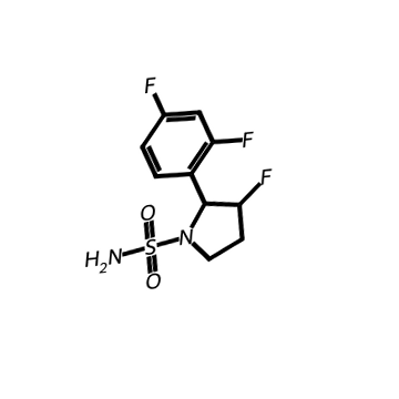 NS(=O)(=O)N1CCC(F)C1c1ccc(F)cc1F